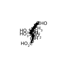 Cc1cc(/N=N/c2cc(S(=O)(=O)O)c3cc(S(=O)(=O)O)c(/N=N/c4ccc(NC(=O)CCOCCC(=O)O)cc4[N+](=O)[O-])c(O)c3c2N)ccc1/N=N/c1ccc(OC=O)cc1